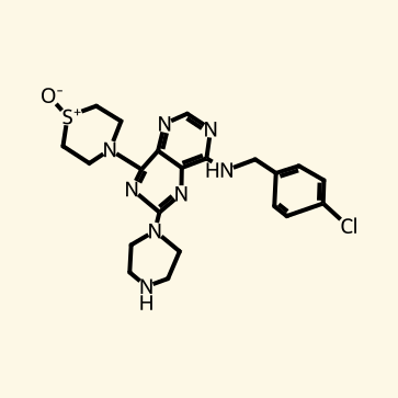 [O-][S+]1CCN(c2nc(N3CCNCC3)nc3c(NCc4ccc(Cl)cc4)ncnc23)CC1